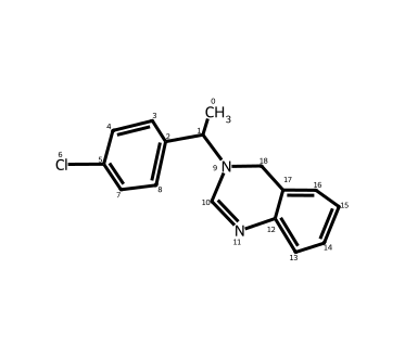 CC(c1ccc(Cl)cc1)N1C=Nc2ccccc2C1